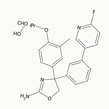 Cc1cc(C2(c3cccc(-c4ccc(F)nc4)c3)COC(N)=N2)ccc1OC(C)C.O=CO